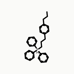 CCCc1ccc(CCC[PH](c2ccccc2)(c2ccccc2)c2ccccc2)cc1